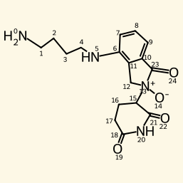 NCCCCNc1cccc2c1C[N+]([O-])(C1CCC(=O)NC1=O)C2=O